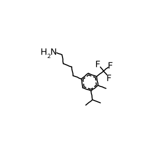 Cc1c(C(C)C)cc(CCCCN)cc1C(F)(F)F